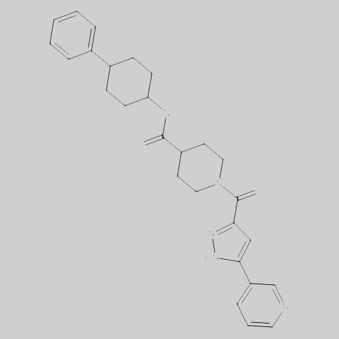 O=C(NC1CCC(c2ccccc2)CC1)C1CCN(C(=O)c2cc(-c3cccnc3)[nH]n2)CC1